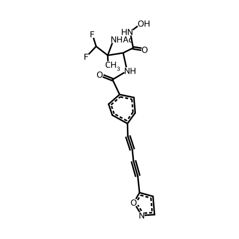 CC(=O)NC(C)(C(F)F)C(NC(=O)c1ccc(C#CC#Cc2ccno2)cc1)C(=O)NO